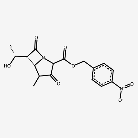 CC1C(=O)C(C(=O)OCc2ccc([N+](=O)[O-])cc2)N2C(=O)[C@@H]([C@@H](C)O)C12